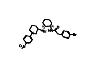 O=C(Cc1ccc(Br)cc1)N[C@@H]1CCCC[C@H]1NC1CCCN(c2ccc([N+](=O)[O-])cc2)C1